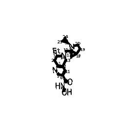 CC[C@H]1Cc2ncc(C(=O)NO)cc2CN1CC12CC1CCN2C1CC1